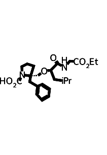 CCOC(=O)CNC(=O)C(CC(C)C)OC[C@@]1(Cc2ccccc2)CCCN1C(=O)O